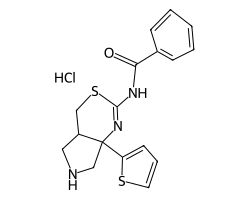 Cl.O=C(NC1=NC2(c3cccs3)CNCC2CS1)c1ccccc1